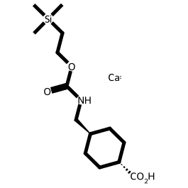 C[Si](C)(C)CCOC(=O)NC[C@H]1CC[C@H](C(=O)O)CC1.[Ca]